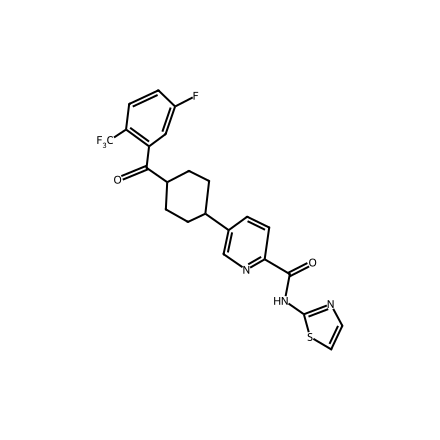 O=C(Nc1nccs1)c1ccc(C2CCC(C(=O)c3cc(F)ccc3C(F)(F)F)CC2)cn1